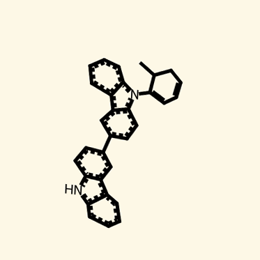 CC1CC=CC=C1n1c2ccccc2c2cc(-c3ccc4[nH]c5ccccc5c4c3)ccc21